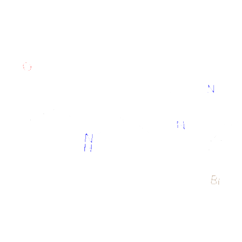 Brc1cnc2ccc(NC3CCOC3)cn12